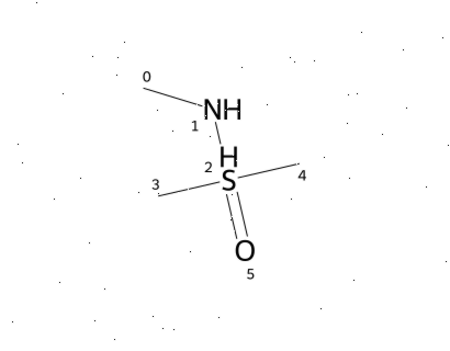 CN[SH](C)(C)=O